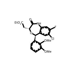 CCOC(=O)C[C@H]1O[C@H](c2cccc(OC)c2OC)c2cc(Cl)c(F)cc2NC1=O